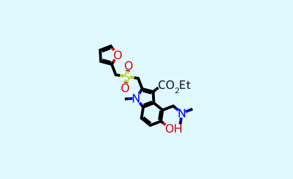 CCOC(=O)c1c(CS(=O)(=O)Cc2ccco2)n(C)c2ccc(O)c(CN(C)C)c12